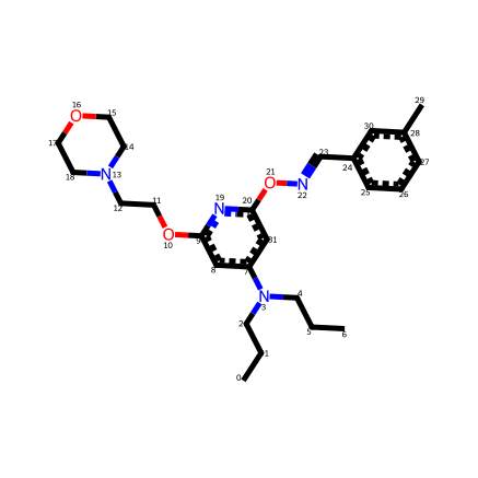 CCCN(CCC)c1cc(OCCN2CCOCC2)nc(O/N=C/c2cccc(C)c2)c1